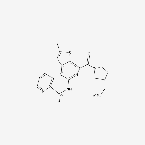 COCC1CCN(C(=O)c2nc(N[C@@H](C)c3ccccn3)nc3cc(C)sc23)C1